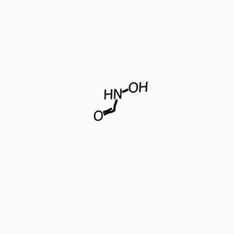 O=CNO